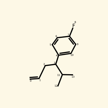 C=CCC(c1ccc(F)cc1)C(C)C